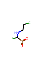 O=[SH](=O)C(F)NCCCl